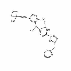 CN1C(=O)C(NC(=O)c2ncn(Cc3ccccc3)n2)COc2ccc(C#CC3(O)COC3)cc21